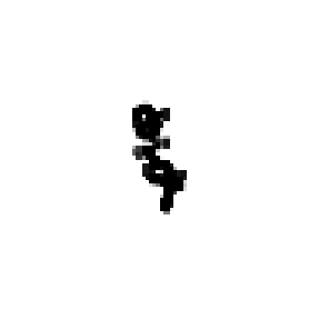 C#Cc1coc2cc(C(=O)N[C@@H]3C[C@@H]4CCN(C4)C3)ncc12